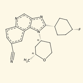 C[C@@H]1C[C@H](n2c3c(cnc4ccc(C#N)cc43)nc2[C@H]2CC[C@@H](F)CC2)CCO1